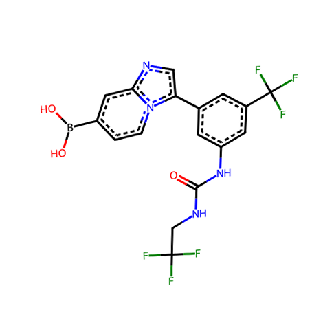 O=C(NCC(F)(F)F)Nc1cc(-c2cnc3cc(B(O)O)ccn23)cc(C(F)(F)F)c1